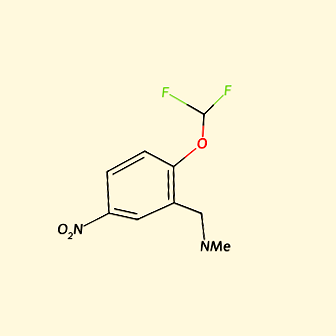 CNCc1cc([N+](=O)[O-])ccc1OC(F)F